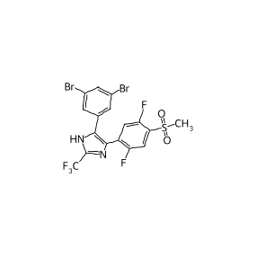 CS(=O)(=O)c1cc(F)c(-c2nc(C(F)(F)F)[nH]c2-c2cc(Br)cc(Br)c2)cc1F